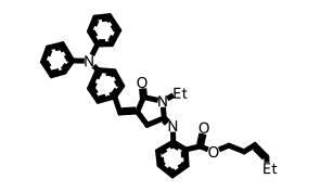 CC/C=C\CCOC(=O)c1ccccc1N=C1C/C(=C/c2ccc(N(c3ccccc3)c3ccccc3)cc2)C(=O)N1CC